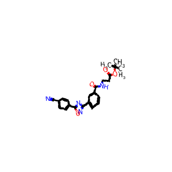 CC(C)(C)OC(=O)CCNC(=O)c1cccc(-c2noc(-c3ccc(C#N)cc3)n2)c1